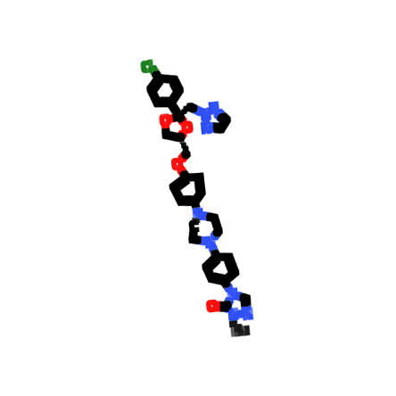 CCC(C)n1ncn(-c2ccc(N3CCN(c4ccc(OC[C@@H]5CO[C@@](Cn6nccn6)(c6ccc(Cl)cc6)O5)cc4)CC3)cc2)c1=O